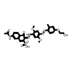 COc1cc(N/N=C2\C(=O)c3ccc(NC(C)=O)cc3C=C2S(=O)(=O)O)c(OC)cc1/N=N/c1ccc(OCCO)cc1C